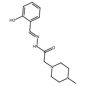 CN1CCN(CC(=O)N/N=C/c2ccccc2O)CC1